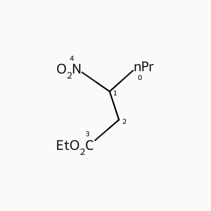 CCCC(CC(=O)OCC)[N+](=O)[O-]